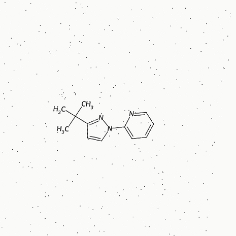 CC(C)(C)c1ccn(-c2ccccn2)n1